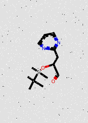 CC(C)(C)[Si](C)(C)OC(C=O)Cc1ncccn1